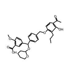 CCCc1c(OCc2ccc(C(OC3CCCCO3)c3ccc(OC)c(C(=O)O)c3)cc2)ccc(C(C)=O)c1O